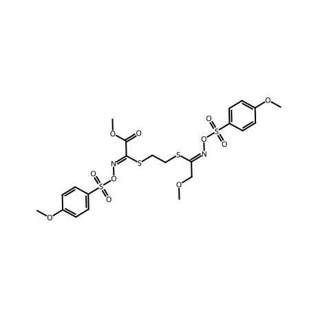 COC/C(=N/OS(=O)(=O)c1ccc(OC)cc1)SCCS/C(=N\OS(=O)(=O)c1ccc(OC)cc1)C(=O)OC